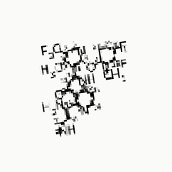 Cc1c(Oc2ncc(C(F)(F)F)c(C)c2-c2cc(=O)c3c(/C(N)=C/C=N)nccc3[nH]2)ccc(F)c1F